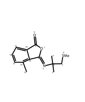 CSCC(C)(C)N=C1OC(=O)c2cccc(C)c21